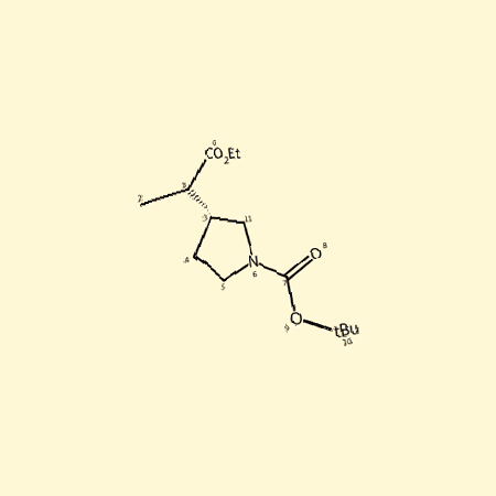 CCOC(=O)C(C)[C@H]1CCN(C(=O)OC(C)(C)C)C1